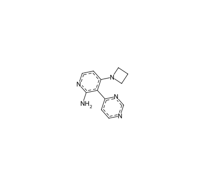 Nc1nccc(N2CCC2)c1-c1ccncn1